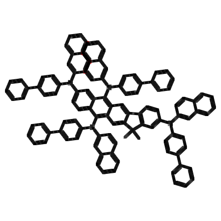 CC1(C)c2cc(N(c3ccc(-c4ccccc4)cc3)c3ccc4ccccc4c3)ccc2-c2cc3c(N(c4ccc(-c5ccccc5)cc4)c4ccc5ccccc5c4)c4cc(N(c5ccc(-c6ccccc6)cc5)c5ccc6ccccc6c5)ccc4c(N(c4ccc(-c5ccccc5)cc4)c4ccc5ccccc5c4)c3cc21